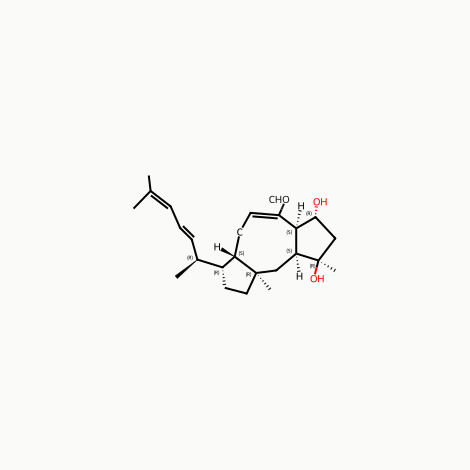 CC(C)=CC=C[C@H](C)[C@H]1CC[C@]2(C)C[C@H]3[C@@H](C(C=O)=CC[C@@H]12)[C@H](O)C[C@@]3(C)O